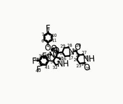 CCN(C(=O)Oc1ccc(F)cc1)[C@]1(C(=O)C2CCN(C(=O)C3CCC(=O)NC3)CC2)CNC[C@H]1c1ccc(F)c(F)c1